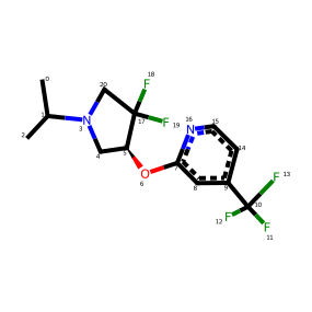 CC(C)N1C[C@H](Oc2cc(C(F)(F)F)ccn2)C(F)(F)C1